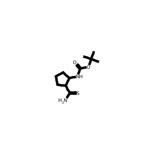 CC(C)(C)OC(=O)NC1CCCC1C(N)=S